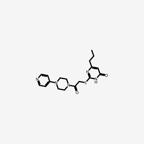 CCCc1cc(=O)[nH]c(SCC(=O)N2CCN(c3ccncc3)CC2)n1